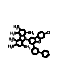 Bc1cc(B)c2c(c1B)c1c(B)c(B)cc(B)c1n2-c1cc(-c2cccc(-c3ccccc3)c2)c2oc3cc(Cl)ccc3c2c1